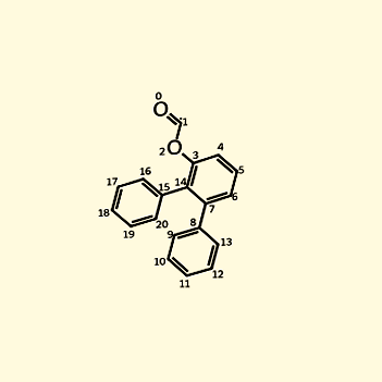 O=[C]Oc1cccc(-c2ccccc2)c1-c1ccccc1